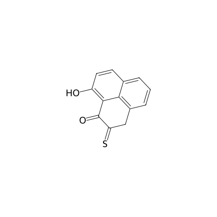 O=C1C(=S)Cc2cccc3ccc(O)c1c23